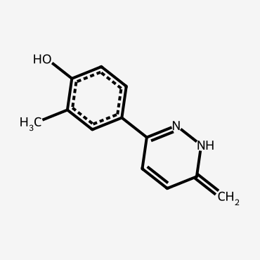 C=C1C=CC(c2ccc(O)c(C)c2)=NN1